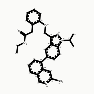 CCOC(=O)Cc1ccccc1OCc1nn(C(C)C)c2ccc(-c3cccc4cnc(N)cc34)cc12